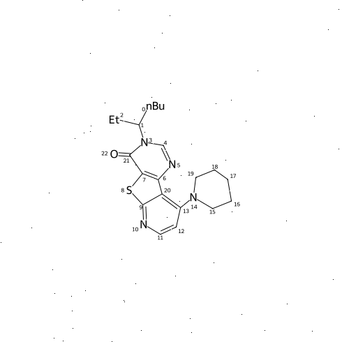 CCCCC(CC)n1cnc2c(sc3nccc(N4CCCCC4)c32)c1=O